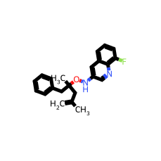 C=C(C)CC(C)(Cc1ccccc1)ONc1cnc2c(F)cccc2c1